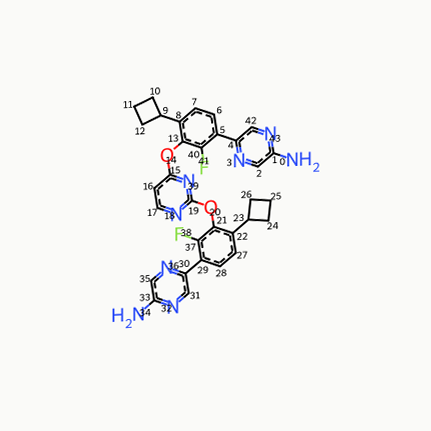 Nc1cnc(-c2ccc(C3CCC3)c(Oc3ccnc(Oc4c(C5CCC5)ccc(-c5cnc(N)cn5)c4F)n3)c2F)cn1